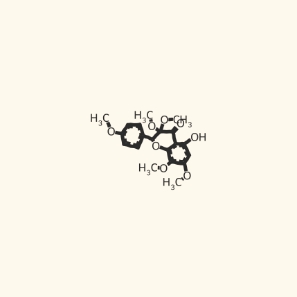 COc1ccc(C2Oc3c(OC)c(OC)cc(O)c3C(=O)C2(OC)OC)cc1